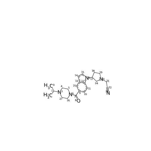 CC(C)N1CCN(C(=O)c2ccc3c(ccn3C3CCN(CC#N)C3)c2)CC1